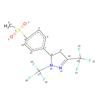 CS(=O)(=O)c1ccc(C2CC(C(F)(F)F)=NN2C(F)(F)F)cc1